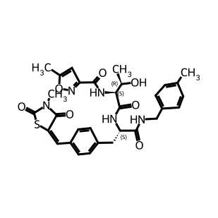 Cc1ccc(CNC(=O)[C@H](Cc2ccc(C=C3SC(=O)N(C)C3=O)cc2)NC(=O)[C@@H](NC(=O)c2cc(C)on2)[C@@H](C)O)cc1